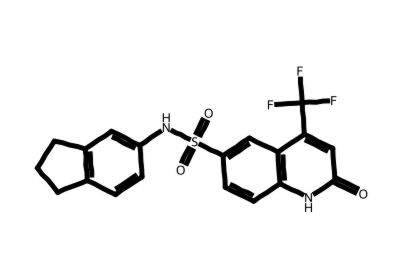 O=c1cc(C(F)(F)F)c2cc(S(=O)(=O)Nc3ccc4c(c3)CCC4)ccc2[nH]1